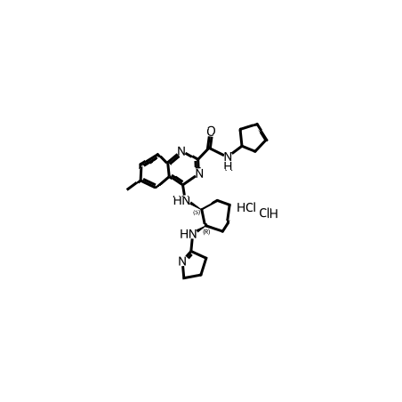 Cc1ccc2nc(C(=O)NC3CCCC3)nc(N[C@H]3CCCC[C@H]3NC3=NCCC3)c2c1.Cl.Cl